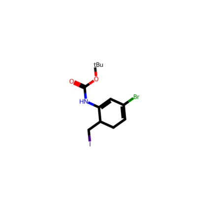 CC(C)(C)OC(=O)NC1=CC(Br)=CCC1CI